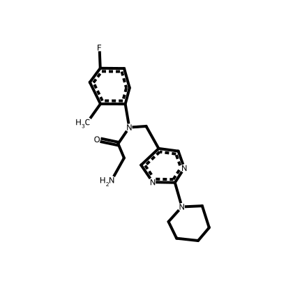 Cc1cc(F)ccc1N(Cc1cnc(N2CCCCC2)nc1)C(=O)CN